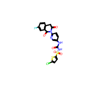 O=C(Nc1ccc(N2C(=O)Cc3ccc(F)cc3C2=O)nc1)NS(=O)(=O)c1ccc(Cl)s1